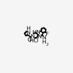 Cl.NC1=NC2(CCN(C(=O)c3ccc[nH]3)CC2)Nc2cccc(F)c21